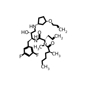 C=CCO[C@H]1CC[C@@H](NC[C@@H](O)[C@H](Cc2cc(F)cc(F)c2)NC(=O)[C@H](CC=C)N(C)C(=O)[C@@H](C)CCCC)C1